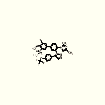 Cc1cn(-c2ccc(-c3cc(Cl)c(CO)c(S(C)(=O)=O)c3)cc2-n2nncc2-c2ccc(OC(F)(F)F)cc2)c(C)n1